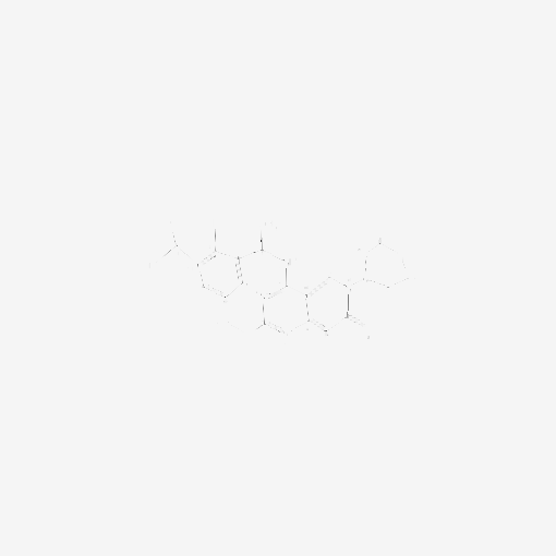 COc1nc(NC(C)c2cccc(C(F)F)c2F)c2cn(N3CCOCC3)c(=O)cc2n1